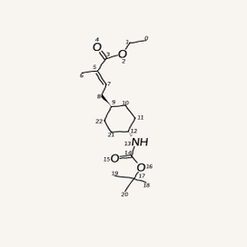 CCOC(=O)/C(C)=C/C[C@H]1CC[C@H](NC(=O)OC(C)(C)C)CC1